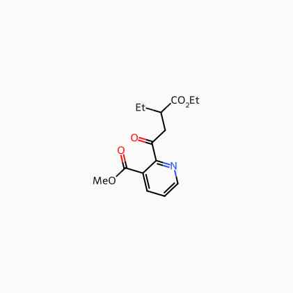 CCOC(=O)C(CC)CC(=O)c1ncccc1C(=O)OC